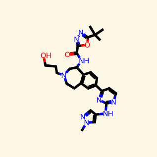 Cn1cc(Nc2nccc(-c3ccc4c(c3)CCN(CCCO)CC4NC(=O)c3nnc(C(C)(C)C)o3)n2)cn1